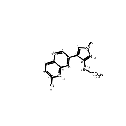 Cn1cc(-c2cnc3ccc(Cl)nc3c2)c(NC(=O)O)n1